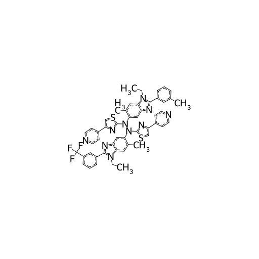 CCn1c(-c2cccc(C)c2)nc2cc(N(c3nc(-c4ccncc4)cs3)N(c3nc(-c4ccncc4)cs3)c3cc4nc(-c5cccc(C(F)(F)F)c5)n(CC)c4cc3C)c(C)cc21